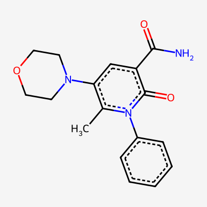 Cc1c(N2CCOCC2)cc(C(N)=O)c(=O)n1-c1ccccc1